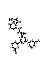 COc1cncc(-c2cc(NCCc3cccc4[nH]ccc34)nc(-c3cccc(C)n3)n2)c1